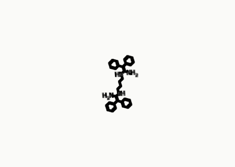 NC(BCCCCBC(N)=C(c1ccccc1)c1ccccc1)=C(c1ccccc1)c1ccccc1